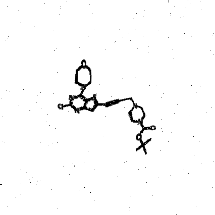 CC(C)(C)OC(=O)N1CCN(CC#Cc2cc3nc(Cl)nc(N4CCOCC4)c3s2)CC1